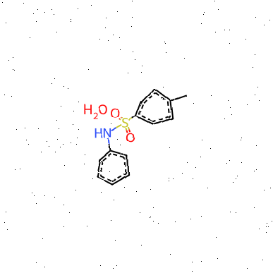 Cc1ccc(S(=O)(=O)Nc2ccccc2)cc1.O